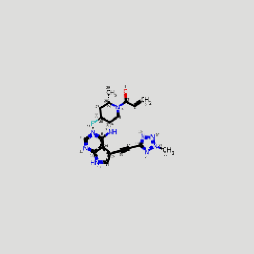 C=CC(=O)N1C[C@H](Nc2ncnc3[nH]cc(C#Cc4nnn(C)n4)c23)[C@@H](F)C[C@@H]1C